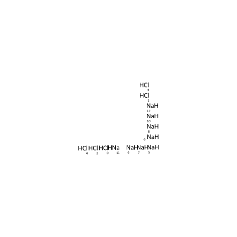 Cl.Cl.Cl.Cl.Cl.[NaH].[NaH].[NaH].[NaH].[NaH].[NaH].[NaH].[NaH]